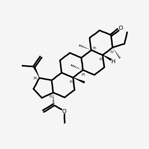 C=C(C)[C@@H]1CC[C@]2(C(=C)OC)CC[C@]3(C)C(CCC4[C@@]5(C)CCC(=O)[C@@](C)(CC)[C@@H]5CC[C@]43C)C12